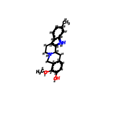 COc1c(O)ccc2c1CN1CCc3c([nH]c4cc(C)ccc34)C1C2